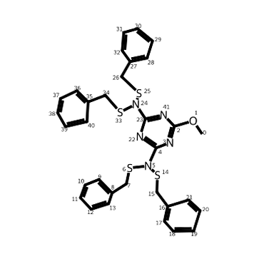 COc1nc(N(SCc2ccccc2)SCc2ccccc2)nc(N(SCc2ccccc2)SCc2ccccc2)n1